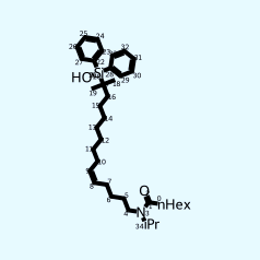 CCCCCCC(=O)N(CCCC/C=C\CCCCCCCC(C)(C)[Si](O)(c1ccccc1)c1ccccc1)C(C)C